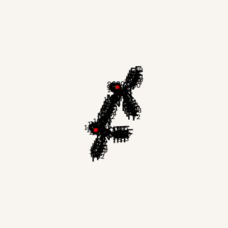 FC(F)(F)C(F)(F)C(F)(F)C(F)(F)COc1nc(OCC(F)(F)C(F)(F)C(F)(F)C(F)(F)F)nc(N(c2cnc(C(F)(F)C(F)(F)C(F)(F)C(F)(F)c3ncc(N(c4nc(OCC(F)(F)C(F)(F)C(F)(F)C(F)(F)F)nc(OCC(F)(F)C(F)(F)C(F)(F)C(F)(F)F)n4)C45CC6CC(CC(C6)C4)C5)cn3)nc2)C23CC4CC(CC(C4)C2)C3)n1